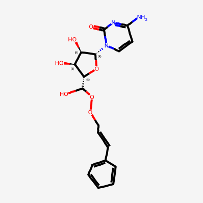 Nc1ccn([C@@H]2O[C@H](C(O)OOCC=Cc3ccccc3)[C@@H](O)[C@H]2O)c(=O)n1